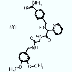 COc1ccc(CNC(=O)CNC(=O)C(NCc2ccc(C(=N)N)cc2)c2ccccn2)cc1OC.Cl